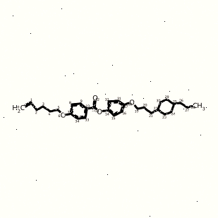 C=CCCCCOc1ccc(C(=O)Oc2ccc(OCCCC3CCC(CCC)CC3)cc2)cc1